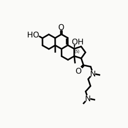 CN(C)CCCN(C)CC(=O)C1CC[C@@]2(O)C3=CC(=O)C4CC(O)CCC4(C)C3CCC12C